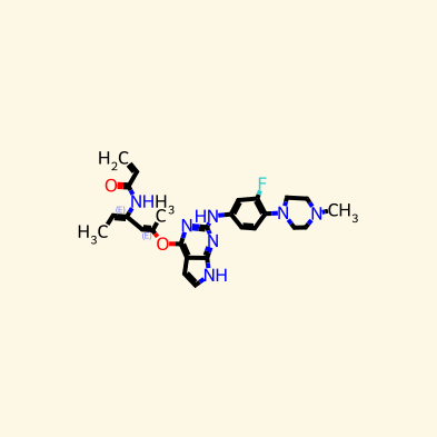 C=CC(=O)NC(=C/C)/C=C(\C)Oc1nc(Nc2ccc(N3CCN(C)CC3)c(F)c2)nc2[nH]ccc12